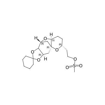 CS(=O)(=O)OCC[C@H]1CC[C@@H]2O[C@@H]3C[C@]2(C[C@H]2OC4(CCCCC4)OC32)O1